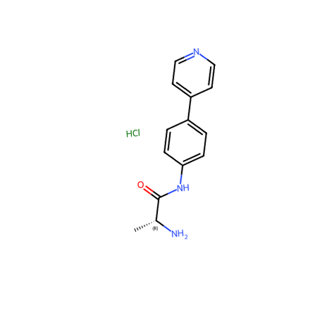 C[C@@H](N)C(=O)Nc1ccc(-c2ccncc2)cc1.Cl